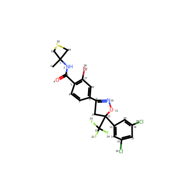 CC1(NC(=O)c2ccc(C3=NOC(c4cc(Cl)cc(Cl)c4)(C(F)(F)F)C3)cc2Br)CSC1